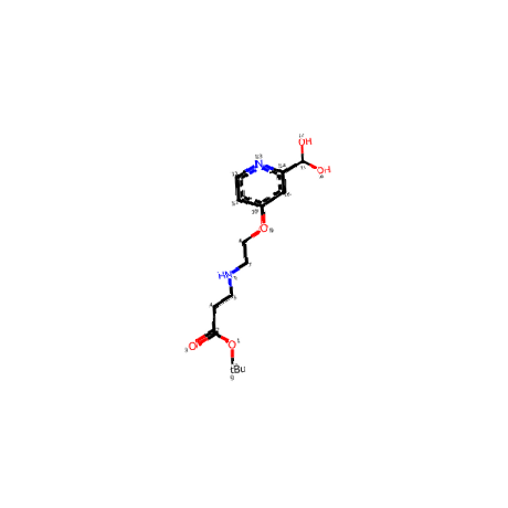 CC(C)(C)OC(=O)CCNCCOc1ccnc(C(O)O)c1